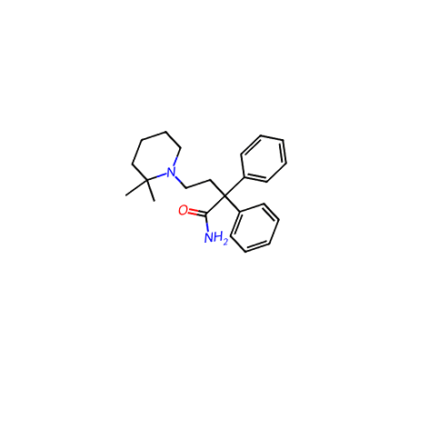 CC1(C)CCCCN1CCC(C(N)=O)(c1ccccc1)c1ccccc1